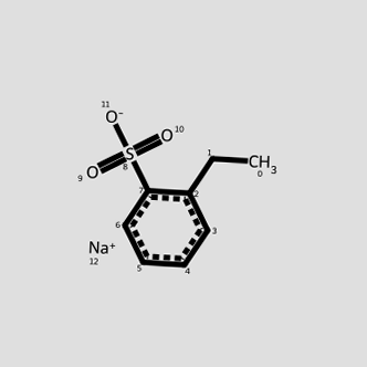 CCc1ccccc1S(=O)(=O)[O-].[Na+]